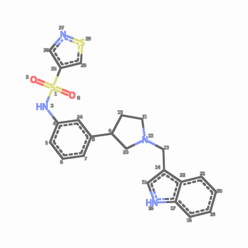 O=S(=O)(Nc1cccc(C2CCN(Cc3c[nH]c4ccccc34)C2)c1)c1cnsc1